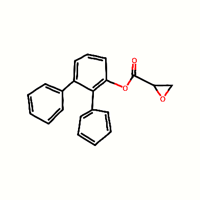 O=C(Oc1cccc(-c2ccccc2)c1-c1ccccc1)C1CO1